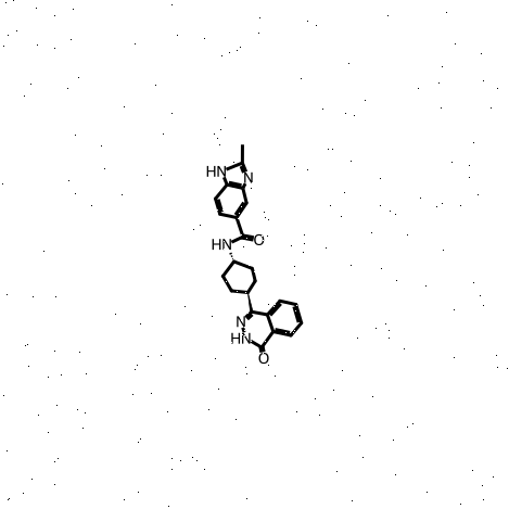 Cc1nc2cc(C(=O)N[C@H]3CC[C@H](c4n[nH]c(=O)c5ccccc54)CC3)ccc2[nH]1